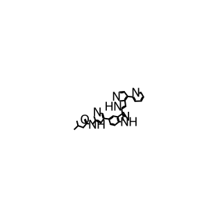 CC(C)CC(=O)Nc1cncc(-c2ccc3[nH]nc(-c4cc5c(-c6ccccn6)ccnc5[nH]4)c3c2)c1